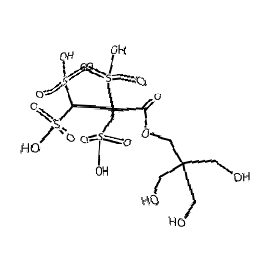 O=C(OCC(CO)(CO)CO)C(C(S(=O)(=O)O)S(=O)(=O)O)(S(=O)(=O)O)S(=O)(=O)O